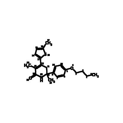 CCCCOc1ccc(C2(C)CC(c3ccc(C)s3)=C(C)C(=O)N2)cc1